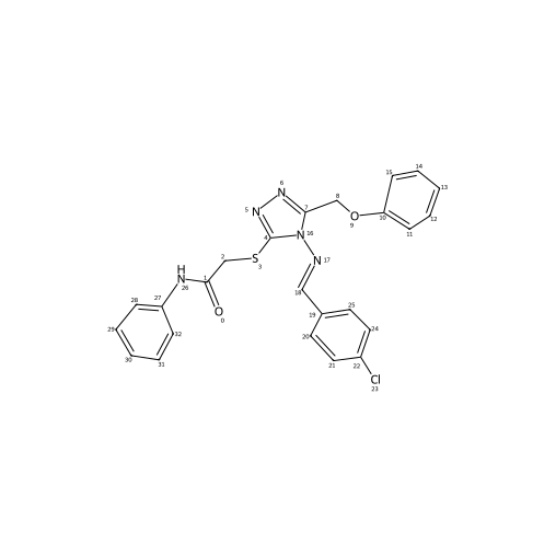 O=C(CSc1nnc(COc2ccccc2)n1N=Cc1ccc(Cl)cc1)Nc1ccccc1